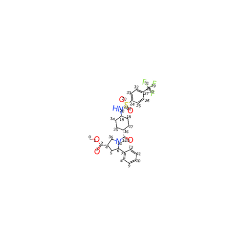 COC(=O)C1CC(c2ccccc2)N(C(=O)[C@H]2CC[C@H](NS(=O)(=O)c3ccc(C(F)(F)F)cc3)CC2)C1